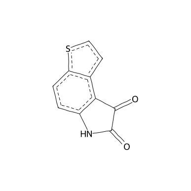 O=C1Nc2ccc3sccc3c2C1=O